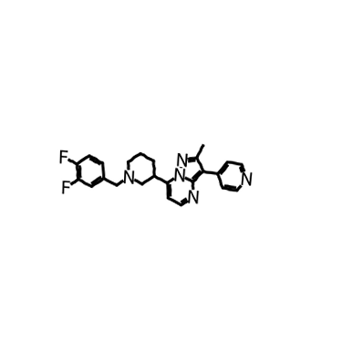 Cc1nn2c(C3CCCN(Cc4ccc(F)c(F)c4)C3)ccnc2c1-c1ccncc1